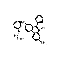 CC[n+]1c(-c2ccccc2)c2cc(N)ccc2c2ccc(N)cc21.O=C([O-])NOc1ccccc1